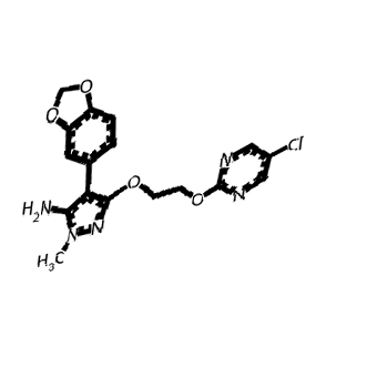 Cn1nc(OCCOc2ncc(Cl)cn2)c(-c2ccc3c(c2)OCO3)c1N